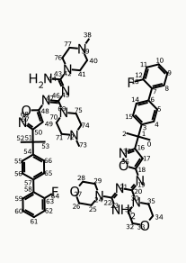 CC(C)(c1ccc(-c2ccccc2F)cc1)c1cc(N=C(N=C(N)N2CCOCC2)N2CCOCC2)on1.CN1CCN(C(N)=NC(=Nc2cc(C(C)(C)c3ccc(-c4ccccc4F)cc3)no2)N2CCN(C)CC2)CC1